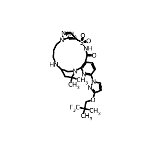 Cc1c2cnn1CCCNC1CN(c3nc(-n4ccc(OCC(C)(C)C(F)(F)F)n4)ccc3C(=O)NS2(=O)=O)C(C)(C)C1